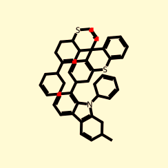 CC1C=Cc2c(n(C3C=CC=CC3)c3c(C4C=CC5=C(C4)Sc4ccccc4C54C5C=CCCC5SC5CCC(C6CC=CCC6)=CC54)cccc23)C1